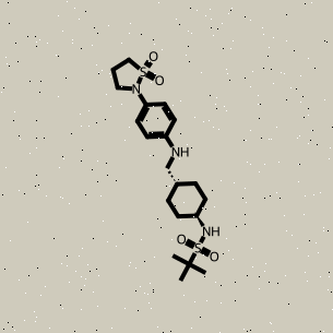 CC(C)(C)S(=O)(=O)N[C@H]1CC[C@H](CNc2ccc(N3CCCS3(=O)=O)cc2)CC1